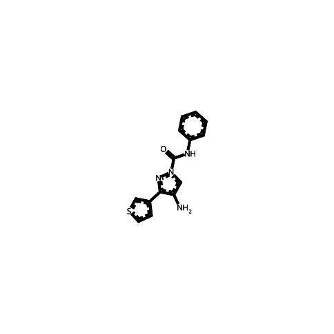 Nc1cn(C(=O)Nc2ccccc2)nc1-c1ccsc1